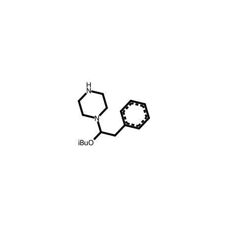 CC(C)COC(Cc1ccccc1)N1CCNCC1